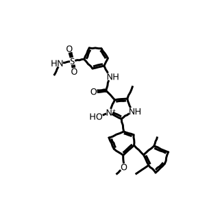 CNS(=O)(=O)c1cccc(NC(=O)c2c(C)[nH]c(-c3ccc(OC)c(-c4c(C)cccc4C)c3)[n+]2O)c1